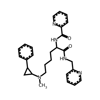 CN(CCCCC(NC(=O)c1ccccn1)C(=O)NCc1ccccn1)C1CC1c1ccccc1